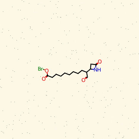 O=CC(CCCCCCCCC(=O)OBr)C1CC(=O)N1